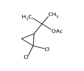 CC(=O)OC(C)(C)C1CC1(Cl)Cl